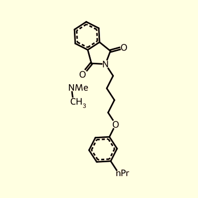 CCCc1cccc(OCCCCN2C(=O)c3ccccc3C2=O)c1.CNC